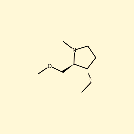 CC[C@H]1CCN(C)[C@@H]1COC